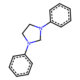 [C]1N(c2ccccc2)CCN1c1ccccc1